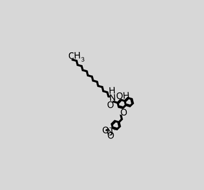 CCCCCCCCCCCCCCCCNC(=O)c1cc(OCCc2ccc([N+](=O)[O-])cc2)c2ccccc2c1O